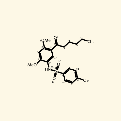 COc1cc(OC)c(C(=O)CCCCCl)cc1NS(=O)(=O)c1ccc(Cl)cc1